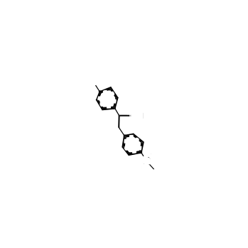 CS(=O)(=O)c1ccc(CC(O)c2ccc(F)cc2)cc1